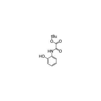 CC(C)(C)OC(=O)C(=O)Nc1ccccc1O